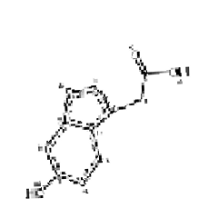 O=C(O)Cc1csc2cc(O)ccc12